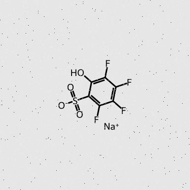 O=S(=O)([O-])c1c(O)c(F)c(F)c(F)c1F.[Na+]